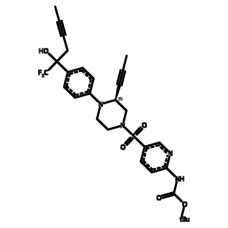 CC#CCC(O)(c1ccc(N2CCN(S(=O)(=O)c3ccc(NC(=O)OC(C)(C)C)nc3)C[C@@H]2C#CC)cc1)C(F)(F)F